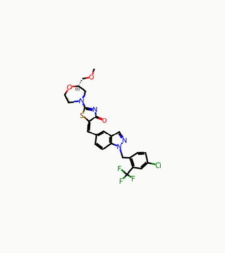 COC[C@@H]1CN(C2=NC(=O)C(=Cc3ccc4c(cnn4Cc4ccc(Cl)cc4C(F)(F)F)c3)S2)CCO1